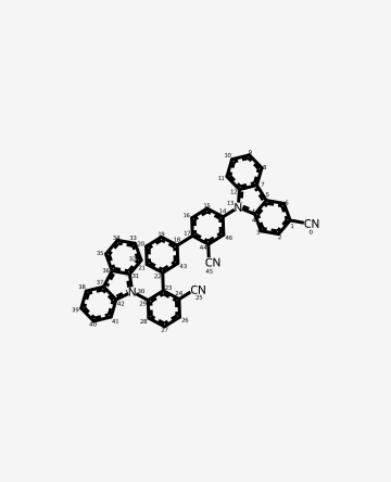 N#Cc1ccc2c(c1)c1ccccc1n2-c1ccc(-c2cccc(-c3c(C#N)cccc3-n3c4ccccc4c4ccccc43)c2)c(C#N)c1